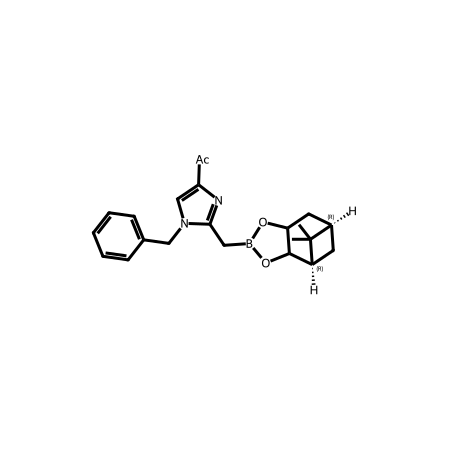 CC(=O)c1cn(Cc2ccccc2)c(CB2OC3C[C@H]4C[C@@H](C3O2)C4(C)C)n1